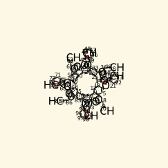 C#CCOc1cc(OCC#C)c2cc1C(C(=O)OCc1ccccc1)c1cc(c(OCC#C)cc1OCC#C)C(C(=O)OCc1ccccc1)c1cc(c(OCC#C)cc1OCC#C)C(C(=O)OCc1ccccc1)c1cc(c(OCC#C)cc1OCC#C)C2C(=O)OCc1ccccc1